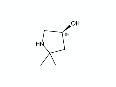 CC1(C)C[C@H](O)CN1